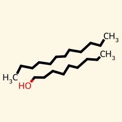 CCCCCCCCCCCC.CCCCCCCCCO